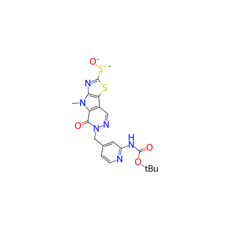 Cn1c2nc([S+](C)[O-])sc2c2cnn(Cc3ccnc(NC(=O)OC(C)(C)C)c3)c(=O)c21